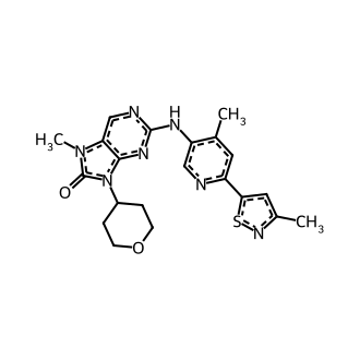 Cc1cc(-c2cc(C)c(Nc3ncc4c(n3)n(C3CCOCC3)c(=O)n4C)cn2)sn1